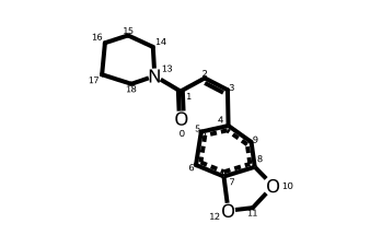 O=C(/C=C\c1ccc2c(c1)OCO2)N1CCCCC1